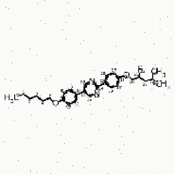 CCCCCCOc1ccc(-c2cnc(-c3ccc(OCC(F)CC(C)C)cc3)nc2)cc1